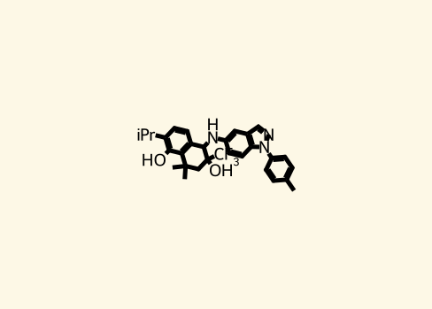 Cc1ccc(-n2ncc3cc(NC4c5ccc(C(C)C)c(O)c5C(C)(C)CC4(O)C(F)(F)F)ccc32)cc1